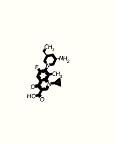 CC[C@H]1C[C@H](N)CN(c2c(F)cc3c(=O)c(C(=O)O)cn(C4CC4)c3c2C)C1